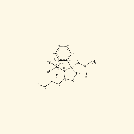 CCCCC1CSC(OC(N)=O)(c2ccccc2)N1S(F)(F)(F)(F)F